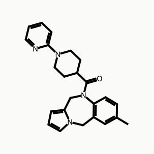 Cc1ccc2c(c1)Cn1cccc1CN2C(=O)C1CCN(c2ccccn2)CC1